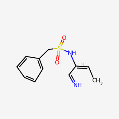 C/C=C(\C=N)NS(=O)(=O)Cc1ccccc1